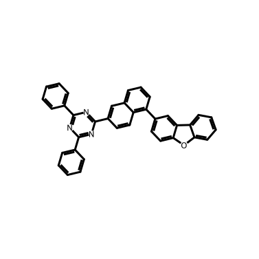 c1ccc(-c2nc(-c3ccccc3)nc(-c3ccc4c(-c5ccc6oc7ccccc7c6c5)cccc4c3)n2)cc1